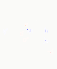 O=C(NS(=O)(=O)c1cccc2ncccc12)C1(c2cc(C3CC3)cnc2N2CCOCC2)CC1